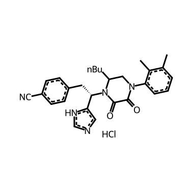 CCCCC1CN(c2cccc(C)c2C)C(=O)C(=O)N1[C@@H](Cc1ccc(C#N)cc1)c1cnc[nH]1.Cl